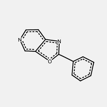 c1ccc(-c2nc3ccncc3o2)cc1